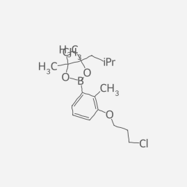 Cc1c(OCCCCl)cccc1B1OC(C)(C)C(C)(CC(C)C)O1